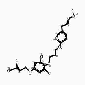 CO/N=C/Cc1ccc(OCCCOc2c(Cl)cc(OCC=C(Cl)Cl)cc2Cl)nc1